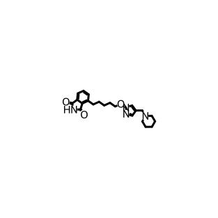 O=C1NC(=O)c2c(CCCCCOn3cc(CN4CCCCC4)cn3)cccc21